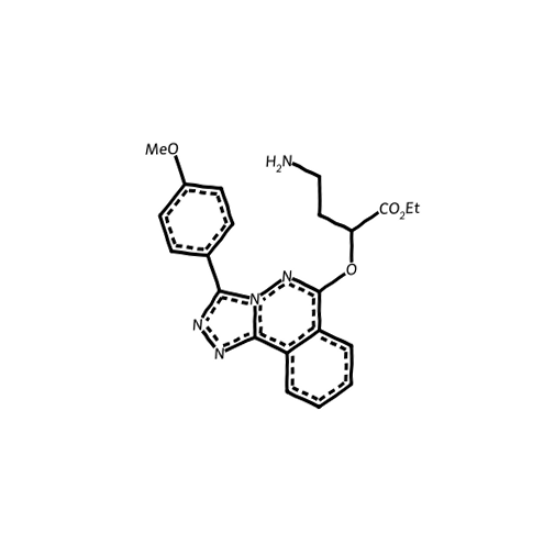 CCOC(=O)C(CCN)Oc1nn2c(-c3ccc(OC)cc3)nnc2c2ccccc12